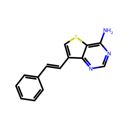 Nc1ncnc2c(C=Cc3ccccc3)csc12